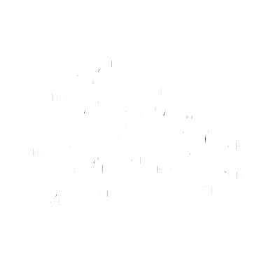 C=C1C[C@@]23CCC4[C@](C)(C(=O)O[C@@H]5OC(CO)[C@@H](O)[C@H](O)C5O)CCC[C@@]4(C)[C@@H]2CCC1(O[C@@H]1OC(CO)[C@@H](O)[C@H](O[C@@H]2OC(CO)[C@@H](O)[C@H](O)C2O)C1O[C@@H]1OC(C)[C@H](O)[C@H](O)C1O)C3